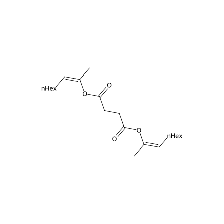 CCCCCC/C=C(/C)OC(=O)CCC(=O)O/C(C)=C\CCCCCC